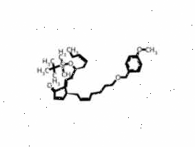 CC/C=C\C[C@@H](C/C=C1/C(=O)C=C[C@@H]1C/C=C\CCCCOCc1ccc(OC)cc1)O[Si](C)(C)C(C)(C)C